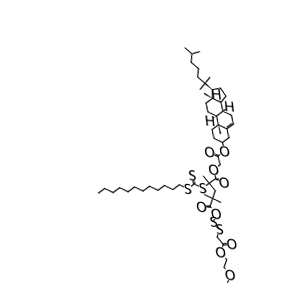 CCCCCCCCCCCCSC(=S)SC(C)(CC(C)(C)C(=O)OSSCC(=O)OCCOC)C(=O)OCC(=O)OC1CC[C@@]2(C)C(=CC[C@H]3[C@@H]4CC[C@H](C(C)(C)CCCC(C)C)[C@@]4(C)CC[C@@H]32)C1